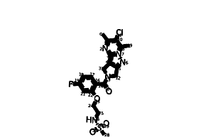 Cc1nc2c3c(nn2c(C)c1Cl)CN(C(=O)c1ccc(F)cc1OCCNS(C)(=O)=O)C3